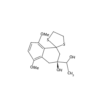 COc1ccc(OC)c2c1C[C@@](O)(C(C)O)CC21SCCS1